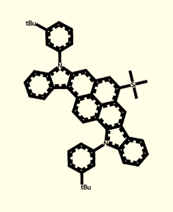 CC(C)(C)c1cccc(-n2c3ccccc3c3c4ccc5c6c(cc7c8ccccc8n(-c8cccc(C(C)(C)C)c8)c75)c([Si](C)(C)C)cc(cc32)c46)c1